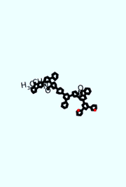 CC1(C)c2ccccc2-c2cc3c(cc21)c1ccc(-c2ccccc2)c2c4ccc(-c5ccc(-c6cc(-c7ccccc7)cc(-c7ccc8c(c7)c7cc(-c9cc(-c%10ccccc%10)cc(-c%10ccccc%10)c9)cc9c%10ccccc%10c(=O)n8c97)c6)cc5)cc4c(=O)n3c12